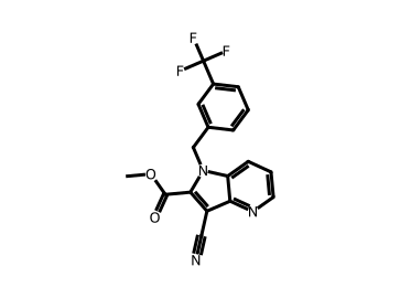 COC(=O)c1c(C#N)c2ncccc2n1Cc1cccc(C(F)(F)F)c1